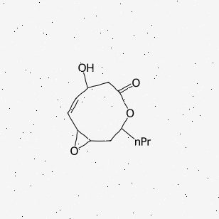 CCCC1CC2OC2C=CC(O)CC(=O)O1